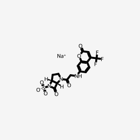 O=C(CNc1ccc2c(C(F)(F)F)cc(=O)oc2c1)N1CC[C@@H]2[C@H]1C(=O)N2S(=O)(=O)[O-].[Na+]